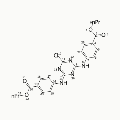 CCCOC(=O)c1ccc(Nc2nc(Cl)nc(Nc3ccc(C(=O)OCCC)cc3)n2)cc1